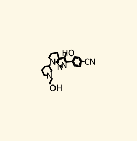 Cc1c(-c2ccc(C#N)cc2O)nnc2c1CCCN2C1CCCN(CCO)C1